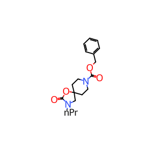 CCCN1CC2(CCN(C(=O)OCc3ccccc3)CC2)OC1=O